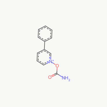 NC(=O)O[n+]1cccc(-c2ccccc2)c1